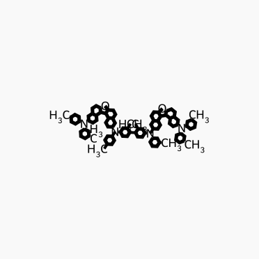 Cc1ccc(N(c2cccc(C)c2)c2ccc3c(ccc4oc5ccc6cc(N(c7ccc(C)cc7)c7ccc(-c8ccc(N(c9cccc(C)c9)c9ccc%10c(ccc%11oc%12ccc%13cc(N(c%14cccc(C)c%14)c%14cccc(C)c%14)ccc%13c%12c%11%10)c9)cc8C)c(C)c7)ccc6c5c43)c2)cc1